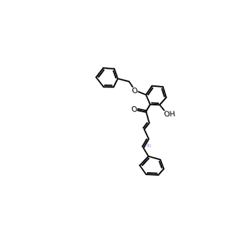 O=C(C=C/C=C/c1ccccc1)c1c(O)cccc1OCc1ccccc1